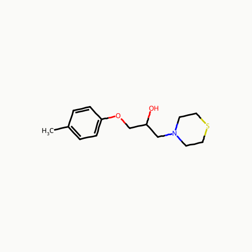 Cc1ccc(OCC(O)CN2CCSCC2)cc1